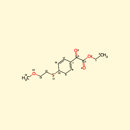 CCOC(=O)C(=O)C1=CCC(SCCOC)C=C1